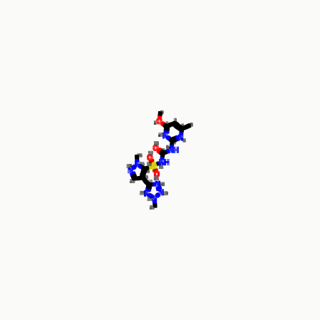 COc1cc(C)nc(NC(=O)NS(=O)(=O)c2c(-c3nnn(C)n3)cnn2C)n1